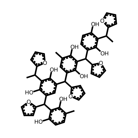 Cc1ccc(O)c(C(c2ccco2)c2cc(C(c3ccco3)c3cc(C)c(O)c(C(c4ccco4)c4ccc(O)c(C(C)c5ccco5)c4O)c3O)c(O)c(C(C)c3ccco3)c2O)c1O